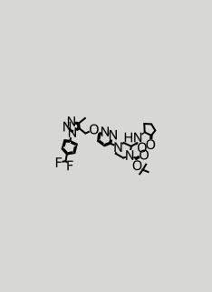 Cc1nnn(-c2ccc(C(F)F)cc2)c1COc1ccc(N2CCN(C(=O)OC(C)(C)C)C(C(=O)N[C@H]3CCCC3=O)C2)nn1